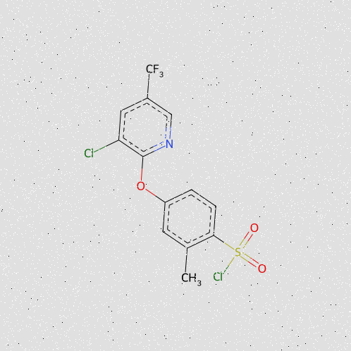 Cc1cc(Oc2ncc(C(F)(F)F)cc2Cl)ccc1S(=O)(=O)Cl